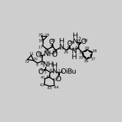 CC(C)COC(=O)NC(C(=O)NC(CC1CC1)C(=O)NC(CC1CC1)C(=O)C(=O)NCC(=O)NC(C(N)=O)c1ccccc1)C1CCCCC1